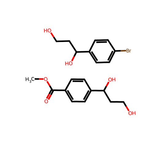 COC(=O)c1ccc(C(O)CCO)cc1.OCCC(O)c1ccc(Br)cc1